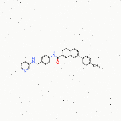 Cc1ccc(-c2ccc3c(c2)C=C(C(=O)Nc2ccc(CNc4cccnc4)cc2)CC3)cc1